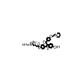 CCCCCCC(CCCC)CCCC(=O)Oc1ccc(-c2sc3cc(O)ccc3c2C(=O)c2ccc(OCCN3CCCCC3)cc2)cc1